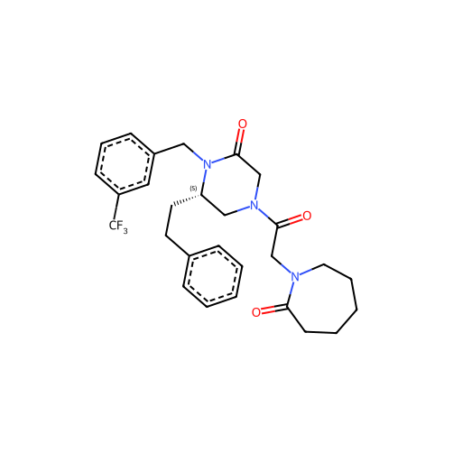 O=C1CCCCCN1CC(=O)N1CC(=O)N(Cc2cccc(C(F)(F)F)c2)[C@@H](CCc2ccccc2)C1